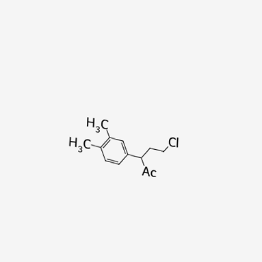 CC(=O)C(CCCl)c1ccc(C)c(C)c1